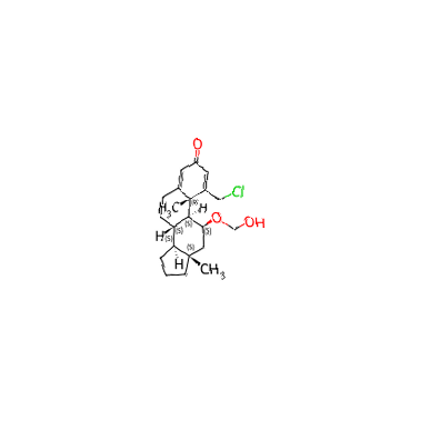 C[C@@]12CCC[C@H]1[C@@H]1CCC3=CC(=O)C=C(CCl)[C@]3(C)[C@H]1[C@@H](OCO)C2